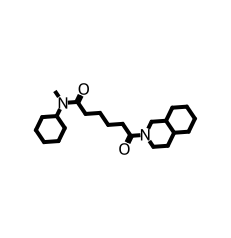 CN(C(=O)CCCCC(=O)N1CCC2CCCCC2C1)C1CCCCC1